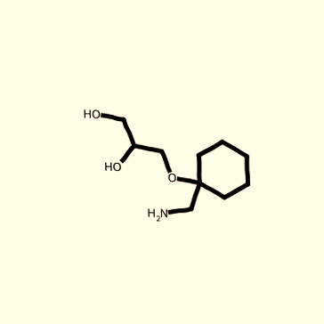 NCC1(OCC(O)CO)CCCCC1